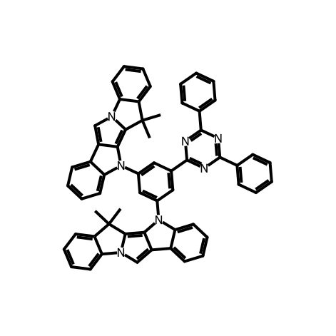 CC1(C)c2ccccc2-n2cc3c4ccccc4n(-c4cc(-c5nc(-c6ccccc6)nc(-c6ccccc6)n5)cc(-n5c6ccccc6c6cn7c(c65)C(C)(C)c5ccccc5-7)c4)c3c21